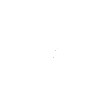 [Cu].[LiH].[O]=[Co].[Ti]